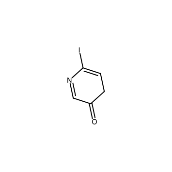 O=C1C=NC(I)=CC1